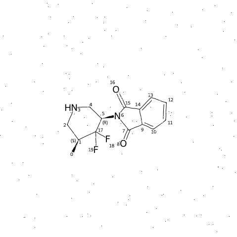 C[C@H]1CNC[C@@H](N2C(=O)c3ccccc3C2=O)C1(F)F